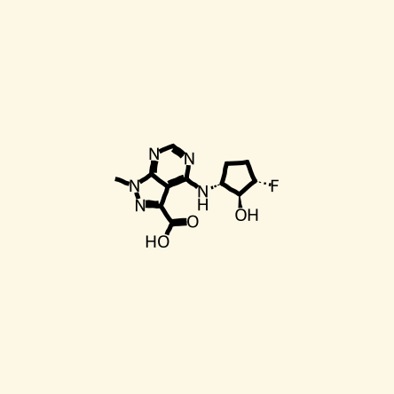 Cn1nc(C(=O)O)c2c(N[C@@H]3CC[C@H](F)[C@H]3O)ncnc21